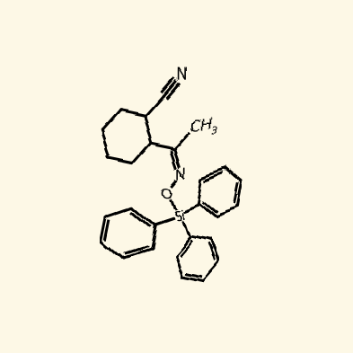 CC(=NO[Si](c1ccccc1)(c1ccccc1)c1ccccc1)C1CCCCC1C#N